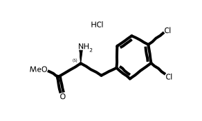 COC(=O)[C@@H](N)Cc1ccc(Cl)c(Cl)c1.Cl